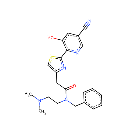 CN(C)CCN(Cc1ccccc1)C(=O)Cc1csc(-c2ncc(C#N)cc2O)n1